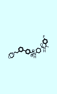 C[C@@H](NC(=O)[C@H]1CC[C@H](NS(=O)(=O)c2ccc(-c3cccc(CCN4CCOCC4)c3)cc2)CC1)c1ccc(F)cc1